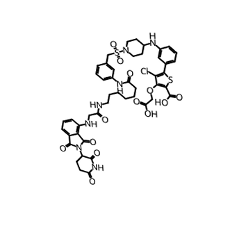 O=C(O)COc1c(C(=O)O)sc(-c2cccc(NC3CCN(S(=O)(=O)Cc4cccc(NC(=O)CCCCCCNC(=O)CNc5cccc6c5C(=O)N(C5CCC(=O)NC5=O)C6=O)c4)CC3)c2)c1Cl